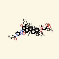 CC(=O)N1CCC(NC(=O)[C@@]23CC[C@]4(C)[C@H](CC[C@@H]5[C@@]6(C)CC[C@H](OC(=O)CC(C)(C)C(=O)O)C(C)(C)[C@@H]6CC[C@]54C)C2=C(C(C)C)C(=O)C3)CC1